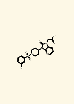 O=C(O)Cn1c(=O)n(C2CCN(S(=O)(=O)c3cccc(Cl)c3)CC2)c2ncccc21